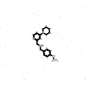 COc1ccc(CNCc2cc(N3CCCCC3)ccn2)cc1